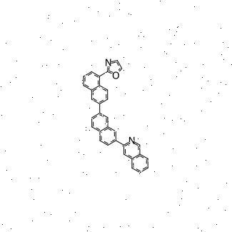 c1ccc2cc(-c3ccc4ccc(-c5ccc6c(-c7ncco7)cccc6c5)cc4c3)ncc2c1